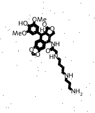 COc1cc(C2c3cc4c(cc3[C@@H](NC(=O)CNCCCCNCCCN)C3COC(=O)[C@H]23)OCO4)cc(OC)c1O